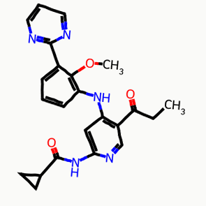 CCC(=O)c1cnc(NC(=O)C2CC2)cc1Nc1cccc(-c2ncccn2)c1OC